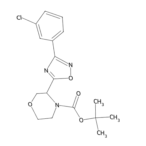 CC(C)(C)OC(=O)N1CCOCC1c1nc(-c2cccc(Cl)c2)no1